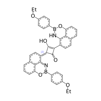 CCOc1ccc(B2N=c3/c(=C4\C(=O)C(c5ccc6cccc7c6c5NB(c5ccc(OCC)cc5)O7)=C4O)ccc4cccc(c34)O2)cc1